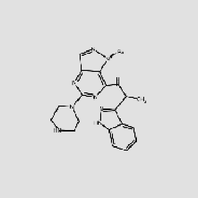 CC[C@H](C)n1ncc2nc(N3CCNCC3)nc(NC(C)c3n[nH]c4ccccc34)c21